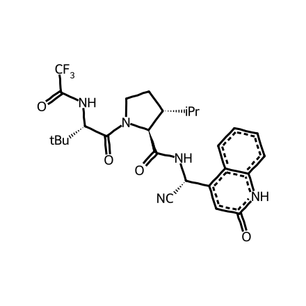 CC(C)[C@H]1CCN(C(=O)[C@@H](NC(=O)C(F)(F)F)C(C)(C)C)[C@@H]1C(=O)N[C@@H](C#N)c1cc(=O)[nH]c2ccccc12